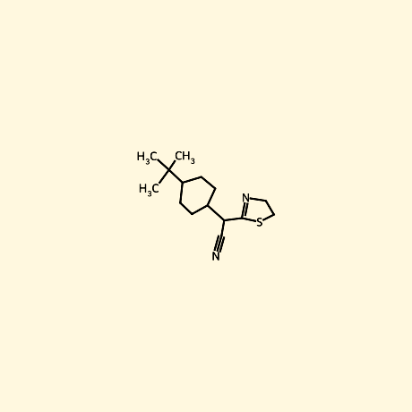 CC(C)(C)C1CCC(C(C#N)C2=NCCS2)CC1